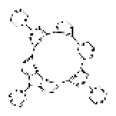 c1ccc(-c2nc3nc(n2)c2ccc4c(c2)c2cc(ccc2n4-c2ccccc2)c2nc(-c4ccccc4)nc(n2)c2cccc(c2)c2cccc3c2)cc1